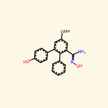 COc1cc(/C(N)=N/O)c(-c2ccccc2)c(-c2ccc(O)cc2)c1